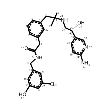 CC(C)(Cc1cccc(CC(=O)NCc2cc(O)cc(Cl)c2)c1)NC[C@H](O)c1ccc(N)nc1